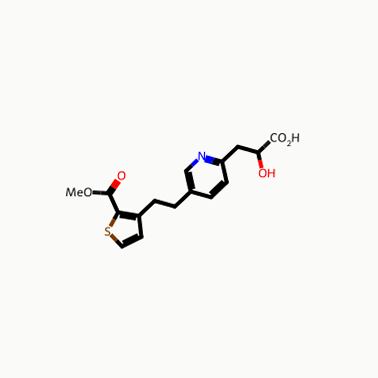 COC(=O)c1sccc1CCc1ccc(CC(O)C(=O)O)nc1